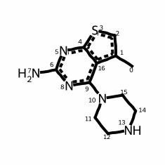 Cc1csc2nc(N)nc(N3CCNCC3)c12